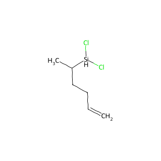 C=CCCC(C)[SiH](Cl)Cl